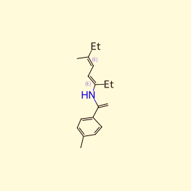 C=C(N/C(=C/C=C(\C)CC)CC)c1ccc(C)cc1